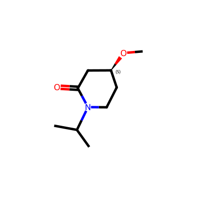 CO[C@H]1CCN(C(C)C)C(=O)C1